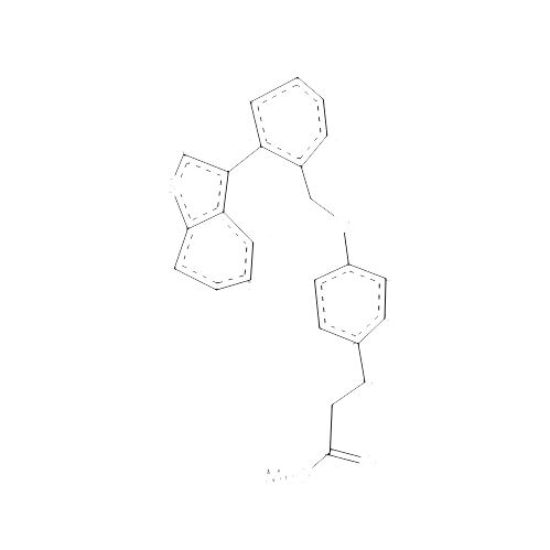 COC(=O)CCc1ccc(OCc2ccccc2-c2csc3ccccc23)cc1